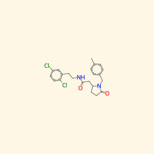 Cc1ccc(CN2C(=O)CCC2CC(=O)NCCc2cc(Cl)ccc2Cl)cc1